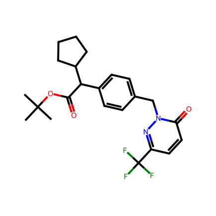 CC(C)(C)OC(=O)C(c1ccc(Cn2nc(C(F)(F)F)ccc2=O)cc1)C1CCCC1